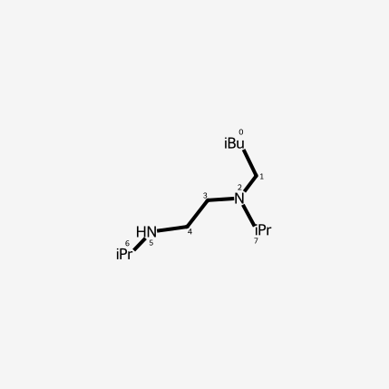 CCC(C)CN(CCNC(C)C)C(C)C